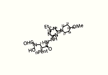 CCCCC[C@@H](CN(O)C=O)C(=O)NNc1nc(CC)nc(N2CCC(OC)CC2)n1